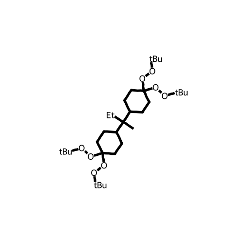 CCC(C)(C1CCC(OOC(C)(C)C)(OOC(C)(C)C)CC1)C1CCC(OOC(C)(C)C)(OOC(C)(C)C)CC1